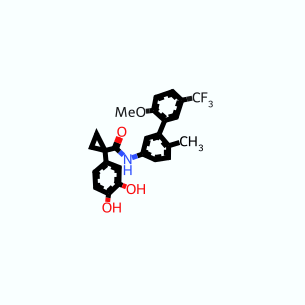 COc1ccc(C(F)(F)F)cc1-c1cc(NC(=O)C2(c3ccc(O)c(O)c3)CC2)ccc1C